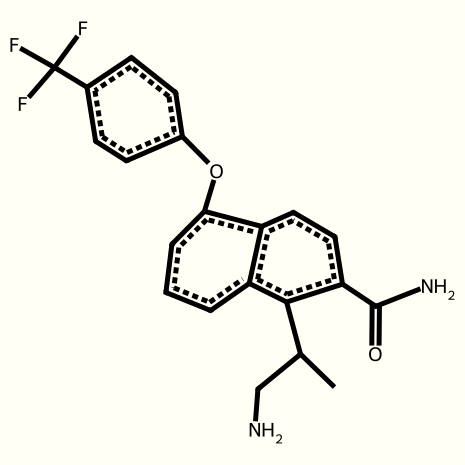 CC(CN)c1c(C(N)=O)ccc2c(Oc3ccc(C(F)(F)F)cc3)cccc12